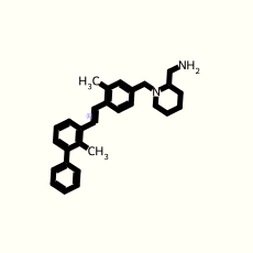 Cc1cc(CN2CCCCC2CN)ccc1/C=C/c1cccc(-c2ccccc2)c1C